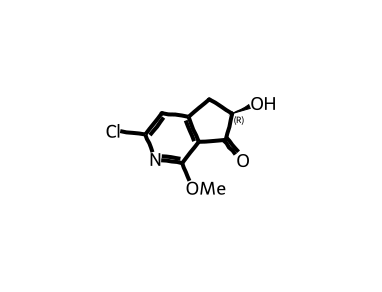 COc1nc(Cl)cc2c1C(=O)[C@H](O)C2